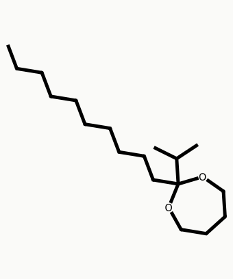 CCCCCCCCCCC1(C(C)C)OCCCCO1